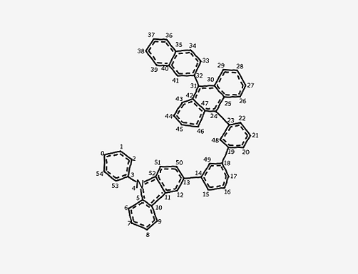 c1ccc(-n2c3ccccc3c3cc(-c4cccc(-c5cccc(-c6c7ccccc7c(-c7ccc8ccccc8c7)c7ccccc67)c5)c4)ccc32)cc1